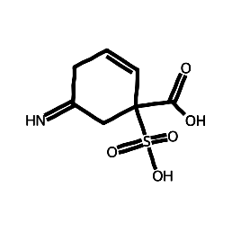 N=C1CC=CC(C(=O)O)(S(=O)(=O)O)C1